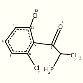 CC(P)C(=O)c1c(Cl)cccc1Cl